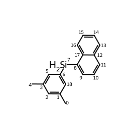 Cc1cc(C)cc([SiH2]c2cccc3ccccc23)c1